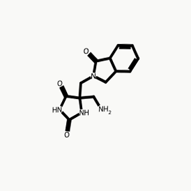 NCC1(CN2CC3C=CC=CC3C2=O)NC(=O)NC1=O